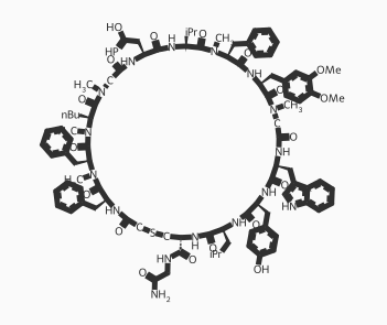 CCCC[C@H]1C(=O)N(C)CC(=O)N[C@@H](CC(O)=P)C(=O)N[C@@H](C(C)C)C(=O)N(C)[C@@H](Cc2ccccc2)C(=O)N[C@@H](Cc2ccc(OC)c(OC)c2)C(=O)N(C)CC(=O)N[C@@H](Cc2c[nH]c3ccccc23)C(=O)N[C@@H](Cc2ccc(O)cc2)C(=O)N[C@@H](CC(C)C)C(=O)N[C@H](C(=O)NCC(N)=O)CSCC(=O)N[C@@H](Cc2ccccc2)C(=O)N(C)[C@@H](Cc2ccccc2)C(=O)N1C